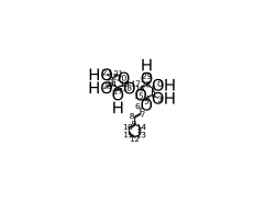 O[C@@H]1[C@@H](O)[C@H](OCC=Cc2ccccc2)O[C@H](COC2OC[C@H](O)[C@H](O)[C@H]2O)[C@H]1O